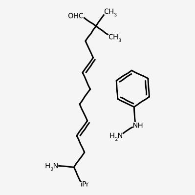 CC(C)C(N)C/C=C/CC/C=C/CC(C)(C)C=O.NNc1ccccc1